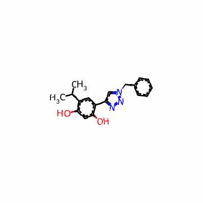 CC(C)c1cc(-c2cn(Cc3ccccc3)nn2)c(O)cc1O